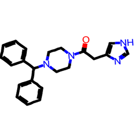 O=C(Cc1c[nH]cn1)N1CCN(C(c2ccccc2)c2ccccc2)CC1